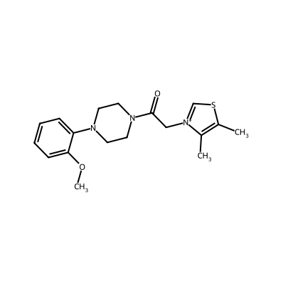 COc1ccccc1N1CCN(C(=O)C[n+]2csc(C)c2C)CC1